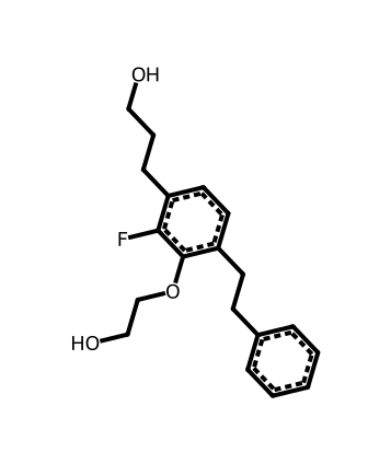 OCCCc1ccc(CCc2ccccc2)c(OCCO)c1F